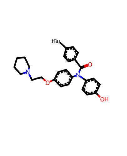 CC(C)(C)c1ccc(C(=O)N(c2ccc(O)cc2)c2ccc(OCCN3CCCCC3)cc2)cc1